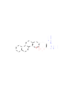 OC1=C(Cc2ccc3c(ccc4c5ccccc5ccc34)c2)NCNC1